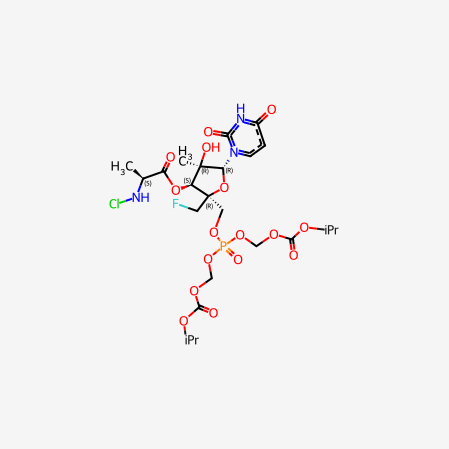 CC(C)OC(=O)OCOP(=O)(OCOC(=O)OC(C)C)OC[C@@]1(CF)O[C@@H](n2ccc(=O)[nH]c2=O)[C@](C)(O)[C@@H]1OC(=O)[C@H](C)NCl